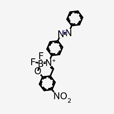 O=[N+]([O-])c1ccc2c(c1)C=[N+](c1ccc(/N=N/c3ccccc3)cc1)[B-](F)(F)O2